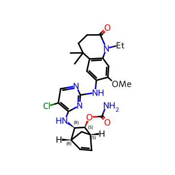 CCN1C(=O)CCC(C)(C)c2cc(Nc3ncc(Cl)c(N[C@H]4[C@@H](OC(N)=O)[C@@H]5C=C[C@H]4C5)n3)c(OC)cc21